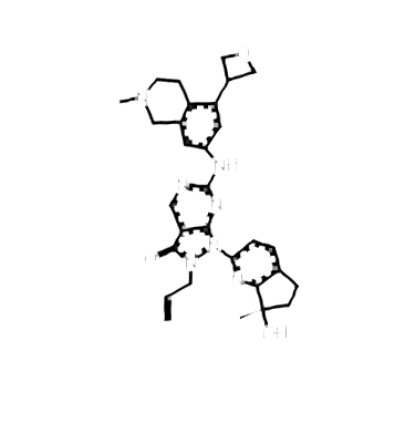 C=CCn1c(=O)c2cnc(Nc3cc4c(c(C5COC5)c3)CCN(C)C4)nc2n1-c1ccc2c(n1)[C@@](C)(O)CC2